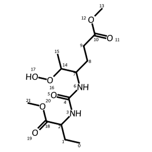 CCC(NC(=O)NC(CCC(=O)OC)C(C)OO)C(=O)OC